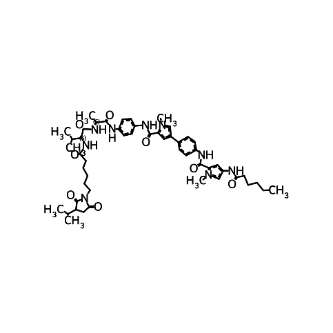 CCCCCC(=O)Nc1cc(C(=O)Nc2ccc(-c3cc(C(=O)Nc4ccc(NC(=O)[C@H](C)NC(=O)[C@@H](NC(=O)CCCCCN5C(=O)CC(C(C)C)C5=O)C(C)C)cc4)n(C)c3)cc2)n(C)c1